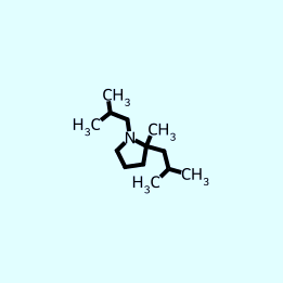 CC(C)CN1CCCC1(C)CC(C)C